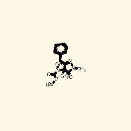 CN1N=C(Cc2ccccc2)C(C)(N(O)C(=O)OC(C)(C)C)C1=O